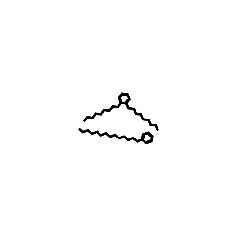 CCCCCCCCCCCCCCc1ccccc1.CCCCCCCCCc1ccccc1CCCCCCCCC